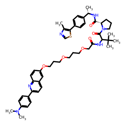 Cc1ncsc1-c1ccc([C@H](C)NC(=O)[C@@H]2CCCN2C(=O)C(NC(=O)COCCCOCCCOc2ccc3nc(-c4ccc(N(C)C)cc4)ccc3c2)C(C)(C)C)cc1